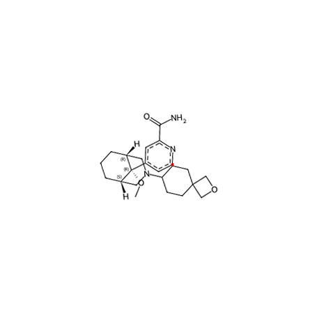 CO[C@@]1(c2ccnc(C(N)=O)c2)[C@@H]2CCC[C@H]1CN(C1CCC3(CC1)COC3)C2